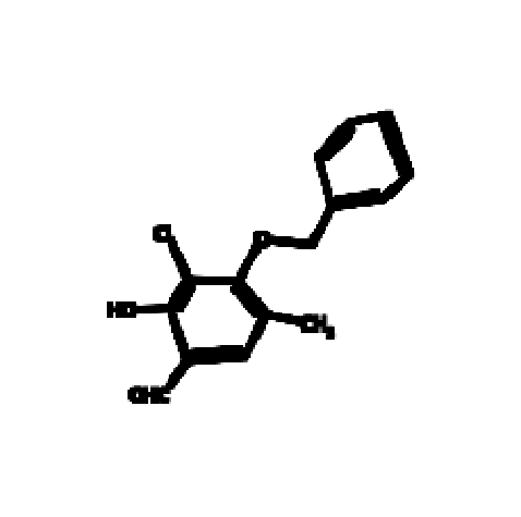 Cc1cc(C=O)c(O)c(Cl)c1OCc1ccccc1